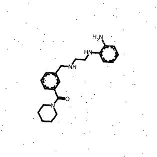 Nc1ccccc1NCCNCc1cccc(C(=O)N2CCCCC2)c1